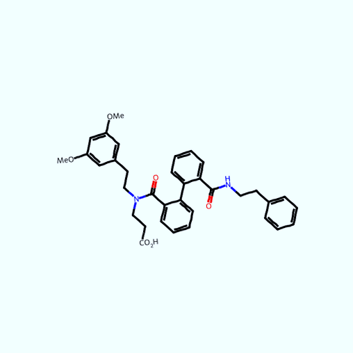 COc1cc(CCN(CCC(=O)O)C(=O)c2ccccc2-c2ccccc2C(=O)NCCc2ccccc2)cc(OC)c1